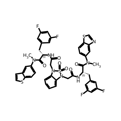 CN(C(=O)[C@H](Cc1cc(F)cc(F)c1)NC(=O)CN1c2ccccc2N(CC(=O)N[C@@H](Cc2cc(F)cc(F)c2)C(=O)N(C)c2ccc3scnc3c2)S1(=O)=O)c1ccc2sccc2c1